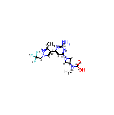 Cc1nn(CC(F)(F)F)cc1-c1cc(N2CC(N(C)C(=O)O)C2)nc(N)n1